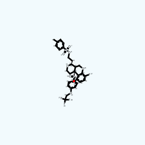 Cc1ccc(S(=O)(=O)OCC[C@@H]2OCC[C@@]3(S(=O)(=O)c4ccc(OCC(F)(F)F)cc4)c4c(F)ccc(F)c4OCC23)cc1